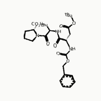 CC(C)(C)OC(=O)C[C@H](NC(=O)OCc1ccccc1)C(=O)NC(C(=O)N1CCC[C@@H]1C(=O)O)C(C)(C)C